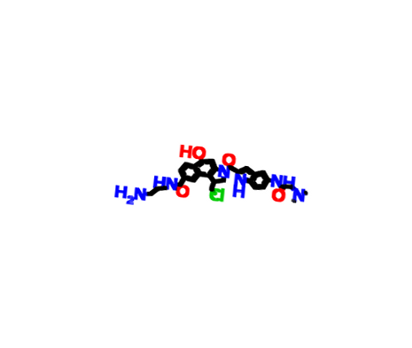 CN(C)CC(=O)Nc1ccc2[nH]c(C(=O)N3CC(CCl)c4c3cc(O)c3ccc(C(=O)NCCCN)cc43)cc2c1